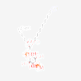 CCCCCCCCCCCCCCCC(=O)O[C@H](COC(=O)CCCCCCCCCCCCCS)COP(=O)(O)OC1C(O)[C@@H](O)C(OP(=O)(O)O)[C@@H](O)[C@H]1O